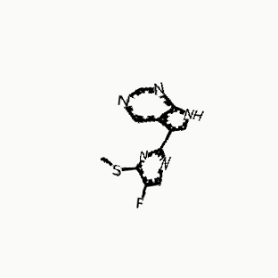 CSc1nc(-c2c[nH]c3ncncc23)ncc1F